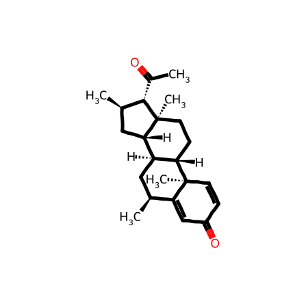 CC(=O)[C@H]1[C@H](C)C[C@H]2[C@@H]3C[C@H](C)C4=CC(=O)C=C[C@]4(C)[C@H]3CC[C@@]21C